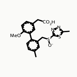 COc1ccc(CC(=O)O)cc1-c1ccc(C)cc1C[S+]([O-])c1nnc(C)s1